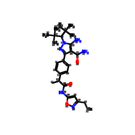 BC(B)(B)C(n1nc(-c2ccc(C(C)C(=O)Nc3cc(CC(C)(C)C)no3)cc2)c(C(N)=O)c1N)C(B)(B)B